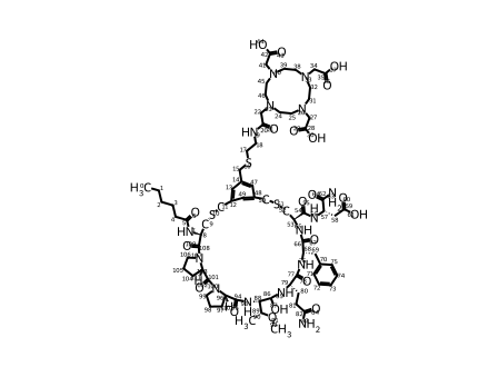 CCCCCC(=O)N[C@H]1CSCc2cc(CSCCNC(=O)CN3CCN(CC(=O)O)CCN(CC(=O)O)CCN(CC(=O)O)CC3)cc(c2)CSC[C@@H](C(=O)N[C@@H](CC(=O)O)C(N)=O)NC(=O)[C@H](Cc2ccccc2)NC(=O)[C@H](CCC(N)=O)NC(O)[C@H]([C@@H](C)OC)NC(=O)[C@@H]2CCCN2C(=O)[C@@H]2CCCN2C1=O